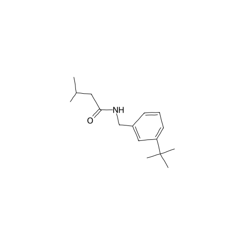 CC(C)CC(=O)NCc1cccc(C(C)(C)C)c1